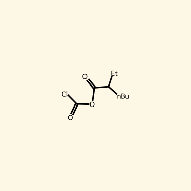 CCCCC(CC)C(=O)OC(=O)Cl